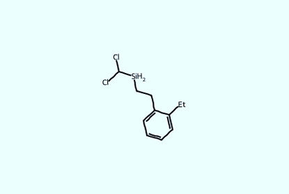 CCc1ccccc1CC[SiH2]C(Cl)Cl